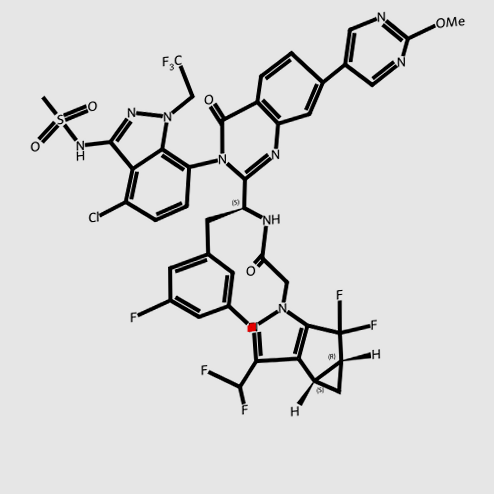 COc1ncc(-c2ccc3c(=O)n(-c4ccc(Cl)c5c(NS(C)(=O)=O)nn(CC(F)(F)F)c45)c([C@H](Cc4cc(F)cc(F)c4)NC(=O)Cn4nc(C(F)F)c5c4C(F)(F)[C@@H]4C[C@H]54)nc3c2)cn1